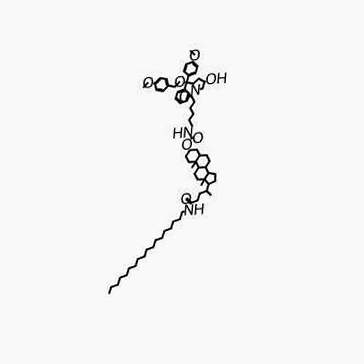 CCCCCCCCCCCCCCCCCCNC(=O)CCC(C)C1CCC2C3CCC4CC(OC(=O)NCCCCCC(=O)N5CC(O)CC5C(OCc5ccc(OC)cc5)(c5ccccc5)c5ccc(OC)cc5)CCC4(C)C3CCC12C